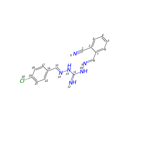 N#Cc1ccccc1/C=N/NC(=N)N/N=C/c1ccc(Cl)cc1